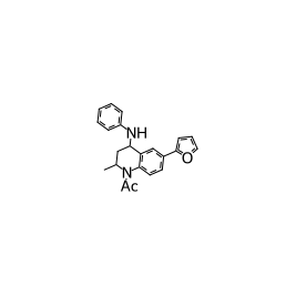 CC(=O)N1c2ccc(-c3ccco3)cc2C(Nc2ccccc2)CC1C